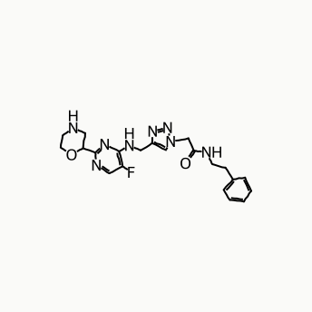 O=C(Cn1cc(CNc2nc(C3CNCCO3)ncc2F)nn1)NCCc1ccccc1